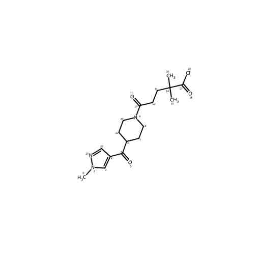 Cn1cc(C(=O)C2CCN(C(=O)CCC(C)(C)C(=O)Cl)CC2)cn1